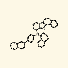 c1ccc2cc(-c3ccc(N(c4cccc5ccccc45)c4cccc5c4oc4c6ccccc6ccc54)cc3)ccc2c1